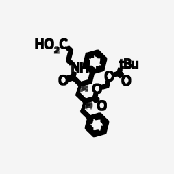 CC(C)(C)C(=O)OCOC(=O)[C@@H](Cc1ccccc1)C[C@H](Cc1ccccc1)C(=O)NCCC(=O)O